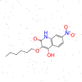 CCCCCCOc1c(O)c2ccc([N+](=O)[O-])cc2[nH]c1=O